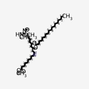 CCCCCCCCCCCCCCCCCC(=O)O[C@@H](C/C=C\CCCCCCCC(=O)OC)CCCCCC.CNC(=O)N=O